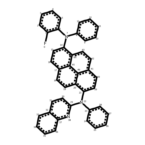 Fc1ccccc1N(c1ccccc1)c1ccc2ccc3c(N(c4ccccc4)c4ccc5ccccc5n4)ccc4ccc1c2c43